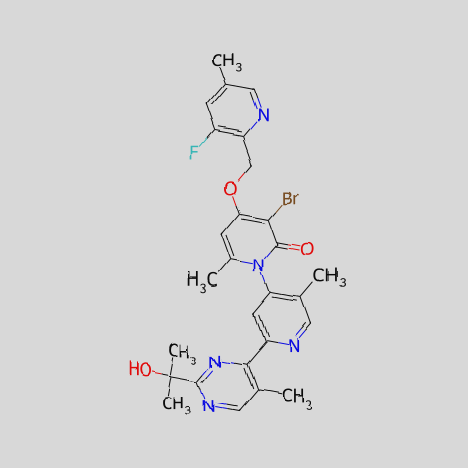 Cc1cnc(COc2cc(C)n(-c3cc(-c4nc(C(C)(C)O)ncc4C)ncc3C)c(=O)c2Br)c(F)c1